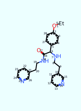 CCOc1ccc(C(NCCc2cccnc2)C(=O)NCCc2cccnc2)cc1